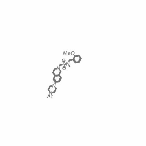 COc1ccccc1CN(C)S(=O)(=O)CN1CCc2cc(N3CCN(C(C)=O)CC3)ccc2C1